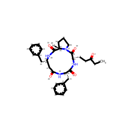 CCC(=O)CC[C@@H]1NC(=O)[C@H](Cc2ccccc2)NC(=O)C[C@H](Cc2ccccc2)NC(=O)[C@@H]2CCCN2C1=O